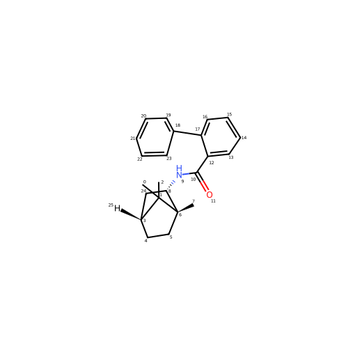 CC1(C)[C@@H]2CC[C@@]1(C)[C@@H](NC(=O)c1ccccc1-c1ccccc1)C2